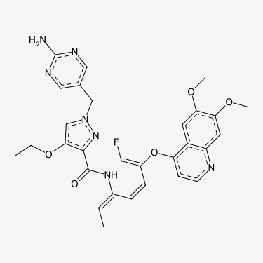 C\C=C(/C=C\C(=C\F)Oc1ccnc2cc(OC)c(OC)cc12)NC(=O)c1nn(Cc2cnc(N)nc2)cc1OCC